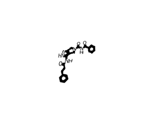 O=C(/C=C/c1ccccc1)Nc1[nH]nc2c1CN(C(=O)NC(=O)c1ccccc1)C2